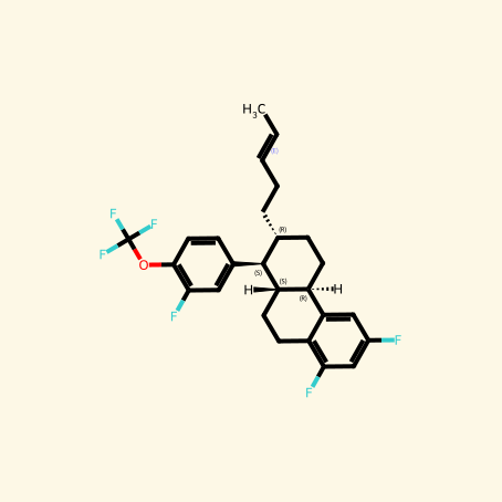 C/C=C/CC[C@@H]1CC[C@H]2c3cc(F)cc(F)c3CC[C@@H]2[C@H]1c1ccc(OC(F)(F)F)c(F)c1